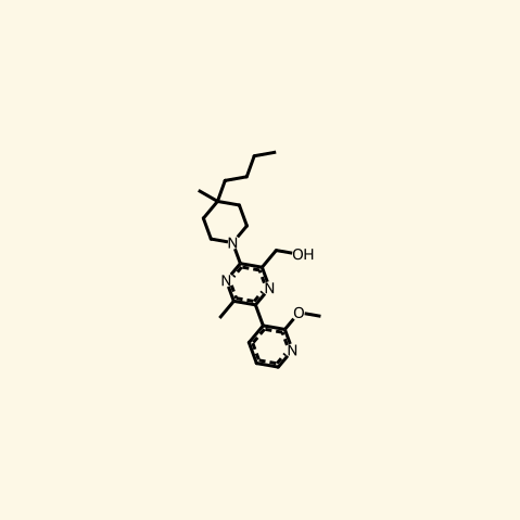 CCCCC1(C)CCN(c2nc(C)c(-c3cccnc3OC)nc2CO)CC1